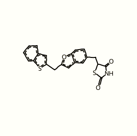 O=C1NC(=O)C(Cc2ccc3oc(Cc4cc5ccccc5s4)cc3c2)S1